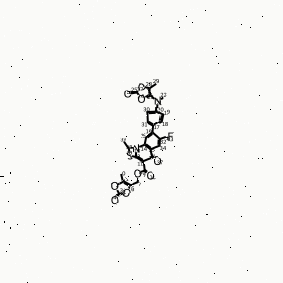 Cc1oc(=O)oc1COC(=O)c1c2n(c3cc(-c4ccc(N(C)c5oc(=O)oc5C)cc4)c(F)cc3c1=O)C(C)S2